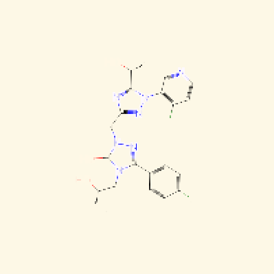 C[C@H](O)c1nc(CN2N=C(c3ccc(Cl)cc3)N(C[C@H](O)C(F)(F)F)C2O)nn1-c1cnccc1Cl